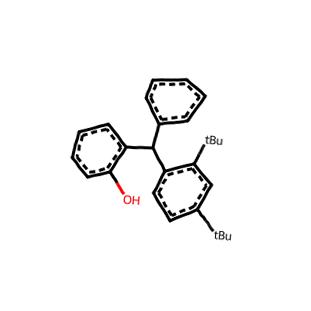 CC(C)(C)c1ccc(C(c2ccccc2)c2ccccc2O)c(C(C)(C)C)c1